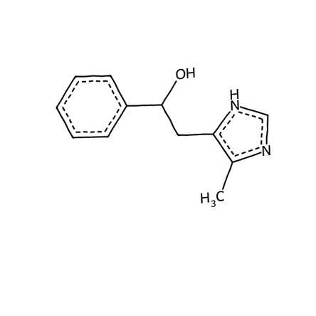 Cc1nc[nH]c1CC(O)c1ccccc1